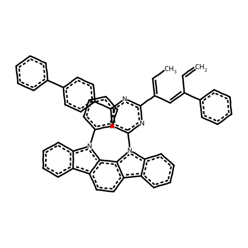 C=C/C(=C\C(=C/C)c1nc(-c2ccc(-c3ccccc3)cc2)nc(-n2c3ccccc3c3ccc4c5ccccc5n(-c5ccccc5)c4c32)n1)c1ccccc1